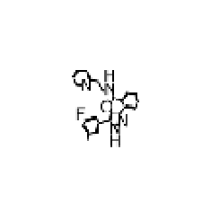 Cc1cc(F)cc(-c2cc(-c3ccccc3C(=O)NCCc3ccccn3)n[nH]2)c1